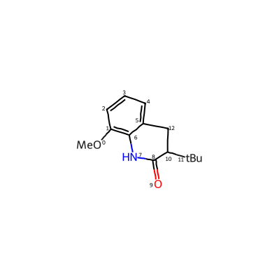 COc1cccc2c1NC(=O)C(C(C)(C)C)C2